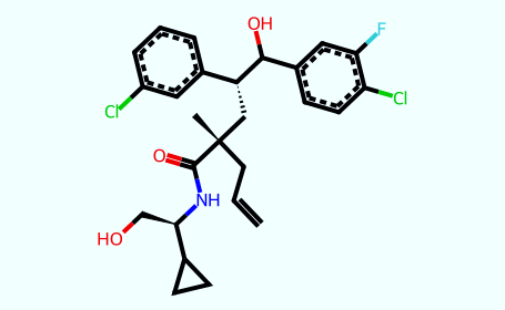 C=CC[C@@](C)(C[C@H](c1cccc(Cl)c1)C(O)c1ccc(Cl)c(F)c1)C(=O)N[C@H](CO)C1CC1